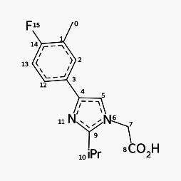 Cc1cc(-c2cn(CC(=O)O)c(C(C)C)n2)ccc1F